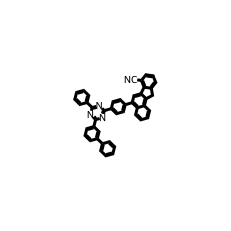 N#Cc1cccc2c1-c1cc(-c3ccc(-c4nc(-c5ccccc5)nc(-c5cccc(-c6ccccc6)c5)n4)cc3)c3ccccc3c1C2